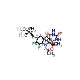 C[C@H]1CN2c3c(cc(C#C[Si](C)(C)C)c(F)c3F)CC3(C(=O)NC(=O)NC3=O)[C@@H]2[C@@H](C)O1